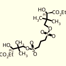 CCOC(=O)[C@H](O)C(C)(C)COS(=O)(=O)CCCS(=O)(=O)OCC(C)(C)[C@@H](O)C(=O)OCC